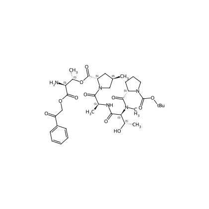 C[C@@H]1C[C@@H](C(=O)O[C@@H](C)[C@H](N)C(=O)OCC(=O)c2ccccc2)N(C(=O)[C@H](C)NC(=O)[C@H]([C@H](C)O)N(C)C(=O)[C@@H]2CCCN2C(=O)OC(C)(C)C)C1